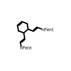 CCCCCC=CC1CC=CCC1C=CCCCCC